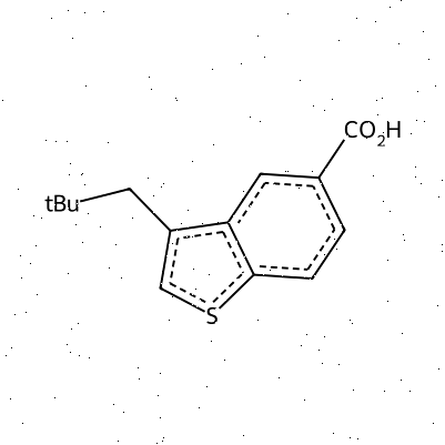 CC(C)(C)Cc1csc2ccc(C(=O)O)cc12